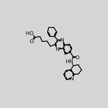 O=C(O)CCCCc1nc2cc(C(=O)N[C@H]3CCCc4ncccc43)ccc2nc1C1=CCCC=C1